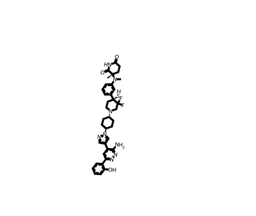 CN(c1cccc([C@@]2(S)CCN([C@H]3CC[C@H](n4cc(-c5cc(-c6ccccc6O)nnc5N)cn4)CC3)CC2(F)F)c1)[C@@]1(C)CCC(=O)NC1=O